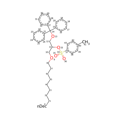 CCCCCCCCCCCCCCCCCCOCC(COC(c1ccccc1)(c1ccccc1)c1ccccc1)OS(=O)(=O)c1ccc(C)cc1